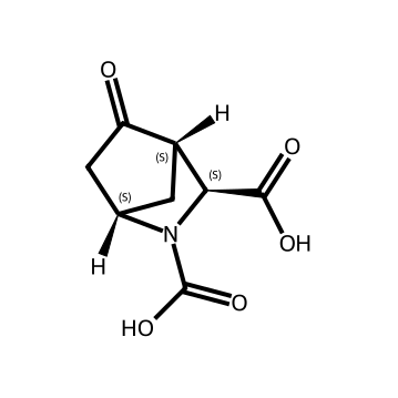 O=C1C[C@@H]2C[C@H]1[C@@H](C(=O)O)N2C(=O)O